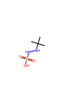 CC(C)(C)NNS(=O)(=O)O